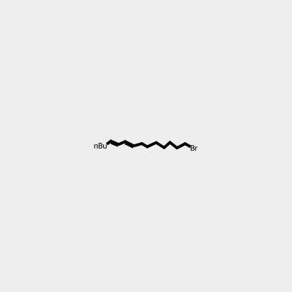 CCCCC=CC=CCCCCCCCBr